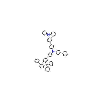 c1ccc(-c2ccc(N(c3ccc(-c4ccc5c(c4)C(c4ccccc4)(c4ccccc4)c4cccc(-c6ccccc6)c4-5)cc3)c3ccc(-c4ccc5c(c4)c4ccccc4n5-c4ccccc4)cc3)cc2)cc1